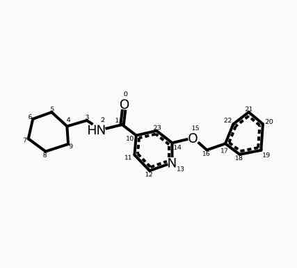 O=C(NCC1CCCCC1)c1ccnc(OCc2ccccc2)c1